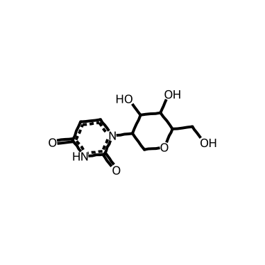 O=c1ccn(C2COC(CO)C(O)C2O)c(=O)[nH]1